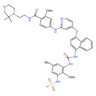 COc1cc(Nc2cc(Oc3ccc(NC(=O)Nc4cc(C(C)(C)C)cc(NS(C)(=O)=O)c4OC)c4ccccc34)ccn2)ccc1C(=O)NCCN1CCOCC1(C)C